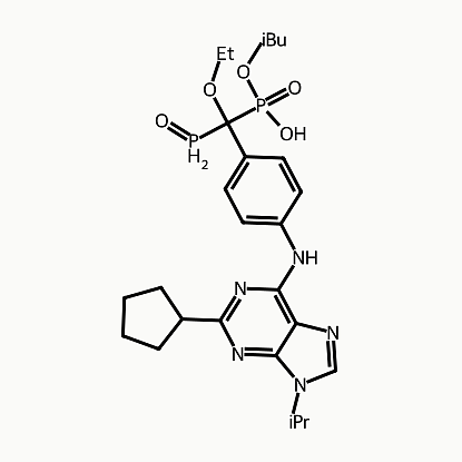 CCOC([PH2]=O)(c1ccc(Nc2nc(C3CCCC3)nc3c2ncn3C(C)C)cc1)P(=O)(O)OC(C)CC